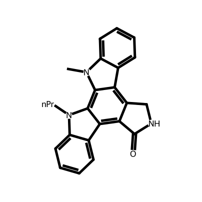 CCCn1c2ccccc2c2c3c(c4c5ccccc5n(C)c4c21)CNC3=O